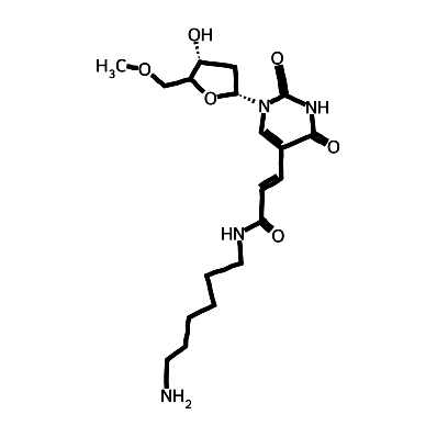 COCC1O[C@@H](n2cc(/C=C/C(=O)NCCCCCCN)c(=O)[nH]c2=O)C[C@H]1O